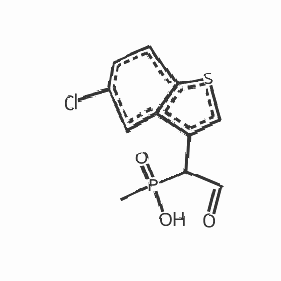 CP(=O)(O)C(C=O)c1csc2ccc(Cl)cc12